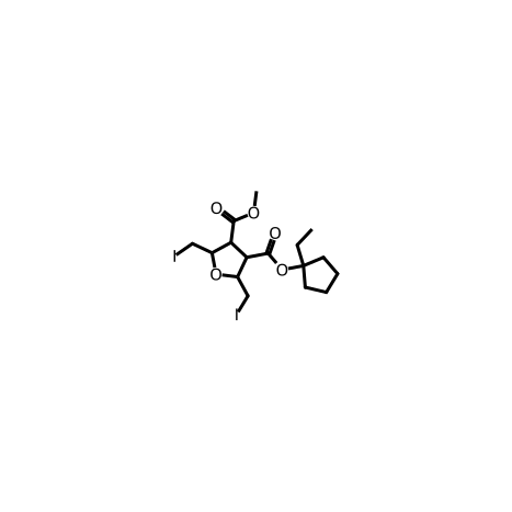 CCC1(OC(=O)C2C(CI)OC(CI)C2C(=O)OC)CCCC1